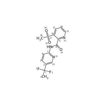 CC(F)(F)c1ccc(NC(=O)c2ncccc2S(C)(=O)=O)nc1